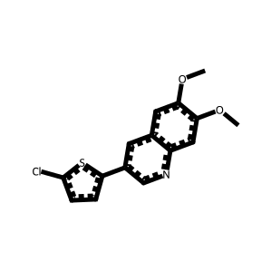 COc1cc2cc(-c3ccc(Cl)s3)cnc2cc1OC